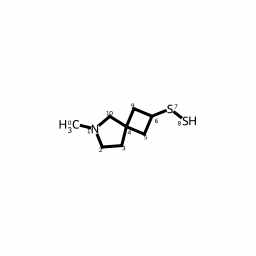 CN1CCC2(CC(SS)C2)C1